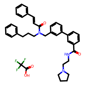 O=C(NCCN1CCCC1)c1cccc(-c2cccc(CN(CCCc3ccccc3)C(=O)/C=C/c3ccccc3)c2)c1.O=C(O)C(F)(F)F